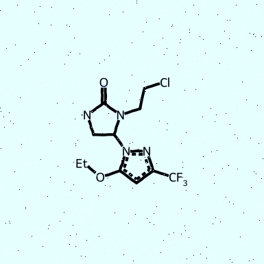 CCOc1cc(C(F)(F)F)nn1C1C[N]C(=O)N1CCCl